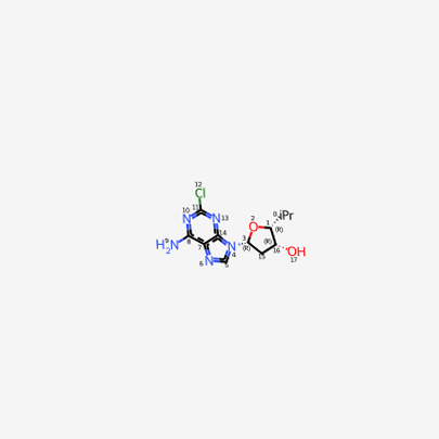 CC(C)[C@H]1O[C@@H](n2cnc3c(N)nc(Cl)nc32)C[C@H]1O